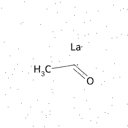 C[C]=O.[La]